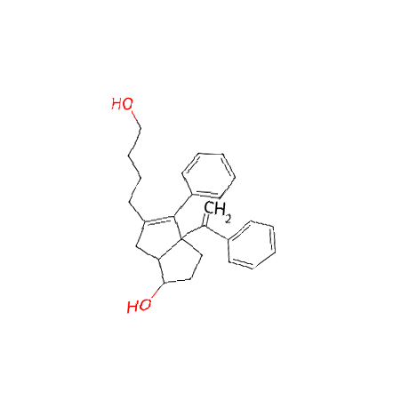 C=C(c1ccccc1)C12CCC(O)C1CC(CCCCO)=C2c1ccccc1